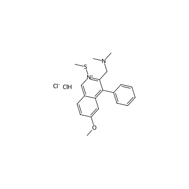 COc1ccc2c[n+](SC)c(CN(C)C)c(-c3ccccc3)c2c1.Cl.[Cl-]